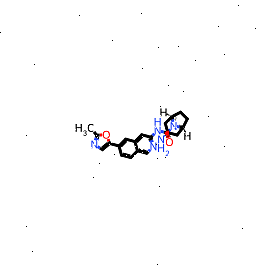 Cc1ncc(-c2ccc3cnc(NC(=O)N4[C@@H]5CC[C@H]4C[C@H](N)C5)cc3c2)o1